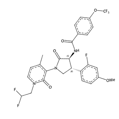 COc1ccc([C@@H]2CN(c3c(C)ccn(CC(F)F)c3=O)C(=O)[C@H]2NC(=O)c2ccc(OC(F)(F)F)cc2)c(F)c1